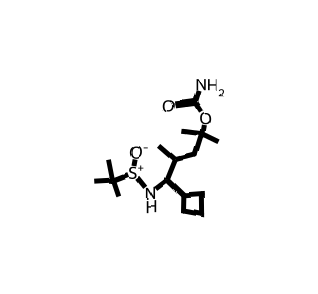 CC(CC(C)(C)OC(N)=O)C(N[S+]([O-])C(C)(C)C)C1CCC1